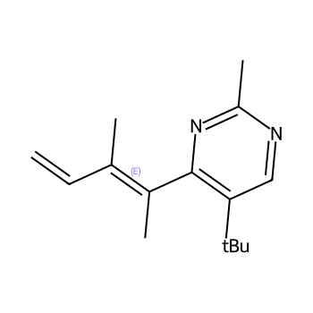 C=C/C(C)=C(\C)c1nc(C)ncc1C(C)(C)C